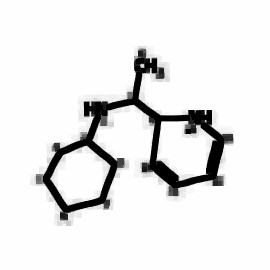 CC(NC1CCCCC1)C1C=CC=CN1